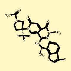 CC(=O)N1CC[C@@](n2cc3c(N[C@H](C)c4cccc5c(F)coc45)nn(C)c(=O)c3cc2=O)(C(F)(F)F)C1